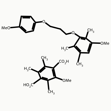 COc1c(C)c(C(=O)O)c(C)c(C)c1C(=O)O.COc1ccc(OCCCOc2c(C)c(C)cc(OC)c2C)cc1